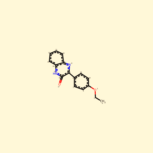 CCOc1ccc(-c2nc3ccccc3[nH]c2=O)cc1